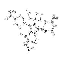 COC(=O)c1ccc(-c2c(C3(CC#N)CCC3)n(-c3cc(F)cc(OC)c3)c3cc4cn[nH]c4c(F)c23)cc1